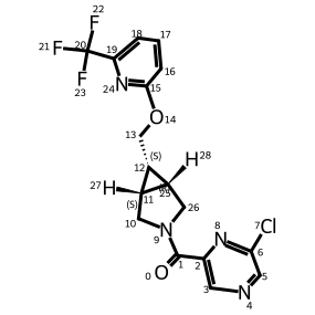 O=C(c1cncc(Cl)n1)N1C[C@@H]2[C@H](COc3cccc(C(F)(F)F)n3)[C@@H]2C1